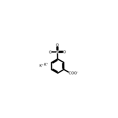 O=C([O-])c1cccc(S(=O)(=O)[O-])c1.[K+].[K+]